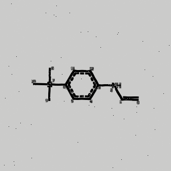 C=CNc1ccc([Si](C)(C)C)cc1